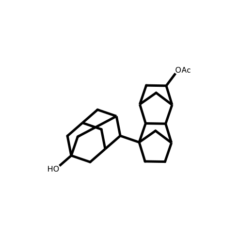 CC(=O)OC1CC2CC1C1C3CCC(C4C5CC6CC4CC(O)(C6)C5)(C3)C21